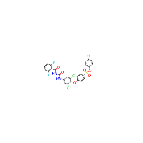 O=C(NC(=O)c1c(F)cccc1F)Nc1cc(Cl)c(Oc2ccc(S(=O)(=O)Oc3ccc(Cl)cc3)cc2)c(Cl)c1